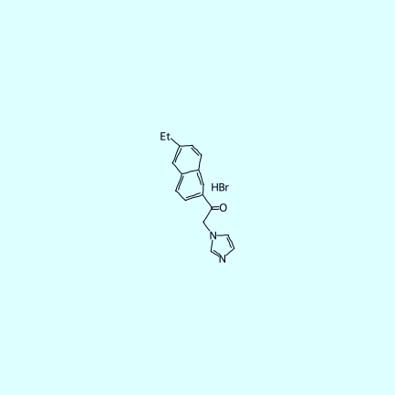 Br.CCc1ccc2cc(C(=O)Cn3ccnc3)ccc2c1